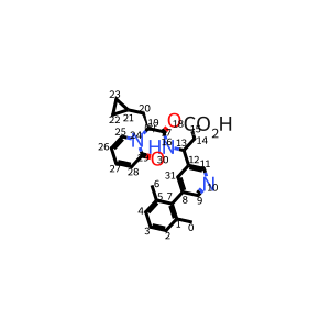 Cc1cccc(C)c1-c1cncc(C(CC(=O)O)NC(=O)[C@H](CC2CC2)n2ccccc2=O)c1